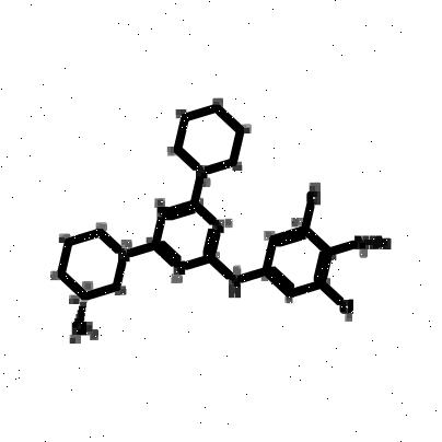 CC(=O)Nc1c(Cl)cc(Nc2nc(N3CCCCC3)nc(N3CCC[C@@H](N)C3)n2)cc1Cl